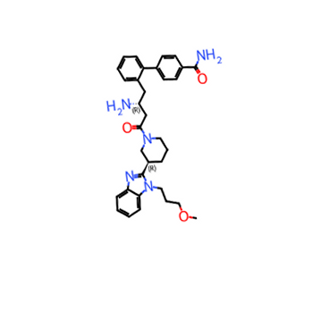 COCCCn1c([C@@H]2CCCN(C(=O)C[C@H](N)Cc3ccccc3-c3ccc(C(N)=O)cc3)C2)nc2ccccc21